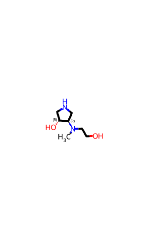 CN(CCO)[C@@H]1CNC[C@H]1O